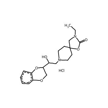 CCN1CC2(CCN(CC(O)C3COc4ccccc4O3)CC2)OC1=O.Cl